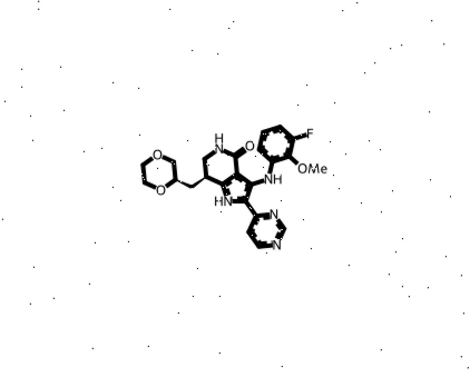 COc1c(F)cccc1Nc1c(-c2ccncn2)[nH]c2c1C(=O)NC[C@@H]2C[C@@H]1COCCO1